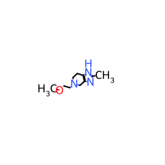 COCCN1CCc2[nH]c(C)nc2C1